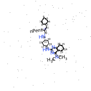 CCCCC/C(=C\c1ccccc1)CN[C@H]1CC[C@@H](Nc2nc(N(C)C)c3ccccc3n2)CC1